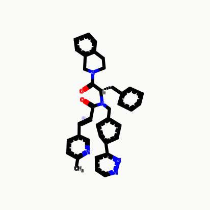 Cc1ccc(/C=C/C(=O)N(Cc2ccc(-c3cccnn3)cc2)[C@@H](Cc2ccccc2)C(=O)N2CCc3ccccc3C2)cn1